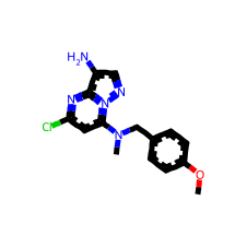 COc1ccc(CN(C)c2cc(Cl)nc3c(N)cnn23)cc1